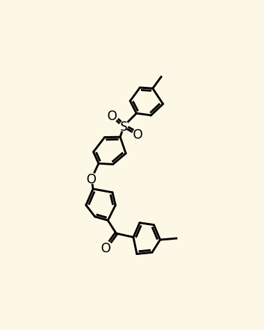 Cc1ccc(C(=O)c2ccc(Oc3ccc(S(=O)(=O)c4ccc(C)cc4)cc3)cc2)cc1